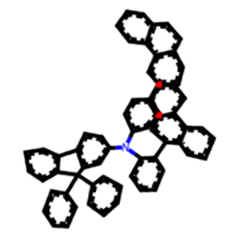 c1ccc(C2(c3ccccc3)c3ccccc3-c3ccc(N(c4ccc(-c5ccc6ccc7ccccc7c6c5)cc4)c4ccccc4-c4cc5ccccc5c5ccccc45)cc32)cc1